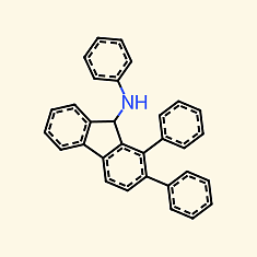 c1ccc(NC2c3ccccc3-c3ccc(-c4ccccc4)c(-c4ccccc4)c32)cc1